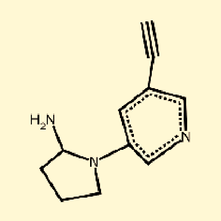 C#Cc1cncc(N2CCCC2N)c1